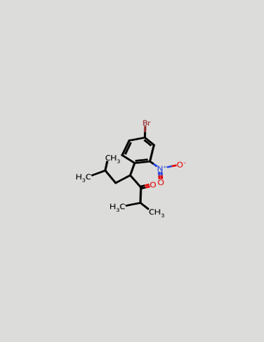 CC(C)CC(C(=O)C(C)C)c1ccc(Br)cc1[N+](=O)[O-]